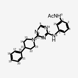 CC(=O)Nc1cccc(Nc2ncnc(N3CCC(c4ccccc4)CC3)n2)c1